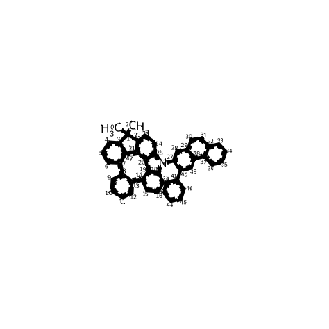 CC1(C)c2cccc3c4ccccc4c4cccc5c4c4c(c1ccc4n5-c1cc4ccc5ccccc5c4cc1-c1ccccc1)c23